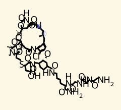 COc1cc2cc(c1Cl)N(C)C(=O)C[C@H](OC(=O)[C@H](C)N(C)C(=O)CCSC(CC(=O)O)C(=O)NCC1CCC(C(=O)NCCCCC(NC(=O)CNC(=O)CNC(=O)CN)C(N)=O)CC1)C(C)(C)O[C@H](C)C1C[C@@](O)(NC(=O)O1)[C@H](OC)/C=C/C=C(\C)C2